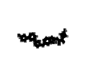 CC(NCc1cc2ccc(Cn3cnc(-c4cncc(N5CC[C@H](F)C5)c4)n3)cc2[nH]1)C12CC(F)(C1)C2